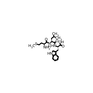 CSCC[C@H](N)C(=O)N[C@@H](CC(C)C)C(=O)N[C@@H](Cc1c[nH]c2ccccc12)C(=O)O